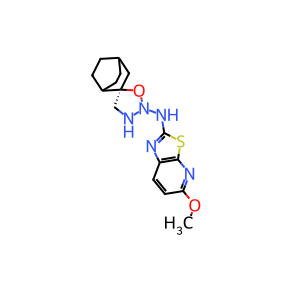 COc1ccc2nc(NN3NC[C@]4(CC5CCC4CC5)O3)sc2n1